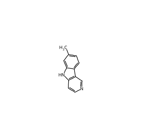 Cc1ccc2c(c1)[nH]c1ccncc12